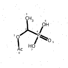 CC(=O)OC(C)P(=O)(O)O